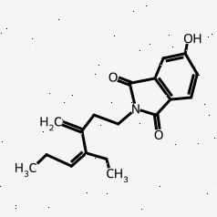 C=C(CCN1C(=O)c2ccc(O)cc2C1=O)/C(=C\CC)CC